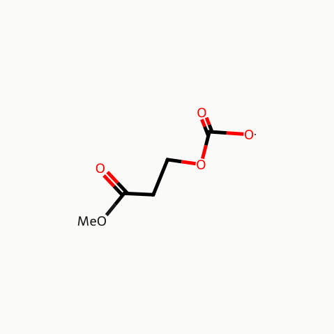 COC(=O)CCOC([O])=O